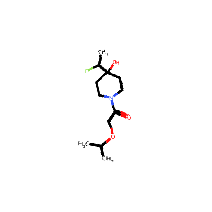 CC(C)OCC(=O)N1CCC(O)(C(C)F)CC1